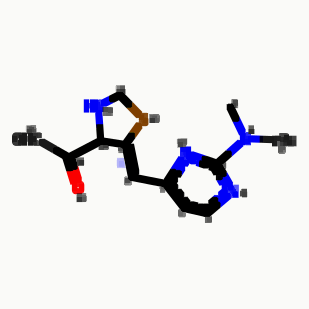 CCCCN(C)c1nccc(/C=C2\SCNC2C(=O)C=O)n1